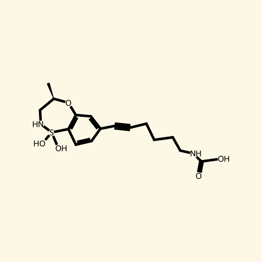 C[C@@H]1CNS(O)(O)c2ccc(C#CCCCCNC(=O)O)cc2O1